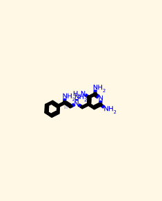 N/C(=C\N(N)Cc1cc(N)nc(N)c1N)c1ccccc1